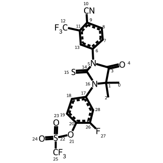 CC1(C)C(=O)N(c2ccc(C#N)c(C(F)(F)F)c2)C(=S)N1c1ccc(OS(=O)(=O)C(F)(F)F)c(F)c1